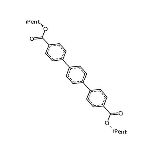 CCC[C@H](C)OC(=O)c1ccc(-c2ccc(-c3ccc(C(=O)O[C@@H](C)CCC)cc3)cc2)cc1